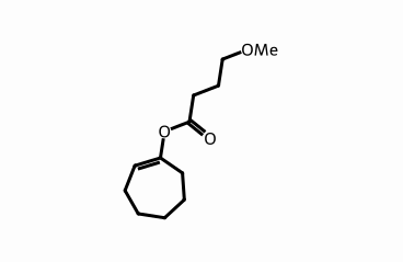 COCCCC(=O)OC1=CCCCCC1